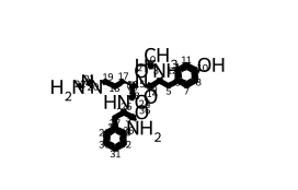 CC(=O)NC(Cc1ccc(O)cc1)C(=O)N[C@H](CCCN=NN)C(=O)NC(Cc1ccccc1)C(N)=O